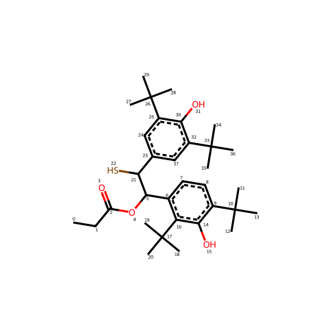 CCC(=O)OC(c1ccc(C(C)(C)C)c(O)c1C(C)(C)C)C(S)c1cc(C(C)(C)C)c(O)c(C(C)(C)C)c1